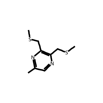 CSCc1ncc(C)nc1CSC